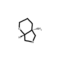 N[C@@]12CCCO[C@H]1C[N]C2